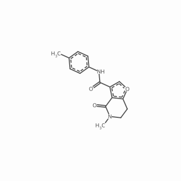 Cc1ccc(NC(=O)c2coc3c2C(=O)N(C)CC3)cc1